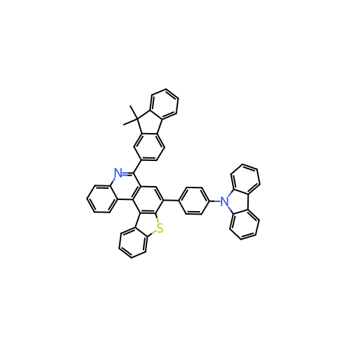 CC1(C)c2ccccc2-c2ccc(-c3nc4ccccc4c4c3cc(-c3ccc(-n5c6ccccc6c6ccccc65)cc3)c3sc5ccccc5c34)cc21